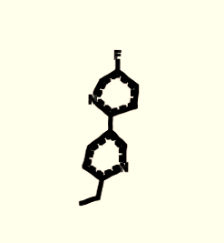 CCc1ccc(-c2ccc(F)cn2)cn1